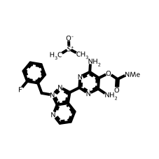 CNC(=O)Oc1c(N)nc(-c2nn(Cc3ccccc3F)c3ncccc23)nc1N.C[S+](C)[O-]